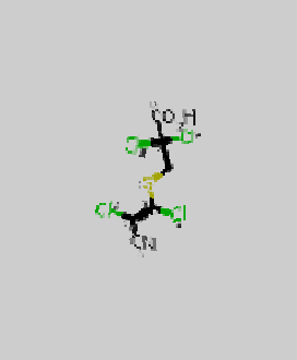 N#CC(Cl)=C(Cl)SCC(Cl)(Cl)C(=O)O